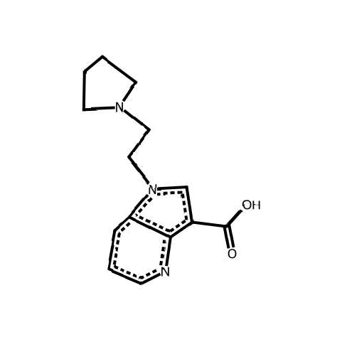 O=C(O)c1cn(CCN2CCCC2)c2cccnc12